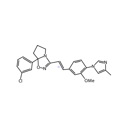 COc1cc(/C=C/C2=NOC3(c4cccc(Cl)c4)CCCN23)ccc1-n1cnc(C)c1